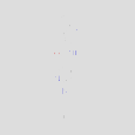 CCCC1CCN(c2ccc(C(=O)Nc3cnc4ccccc4c3)cn2)CC1